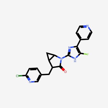 O=C1C(Cc2ccc(Cl)nc2)C2CC2N1c1nc(-c2ccncc2)c(F)[nH]1